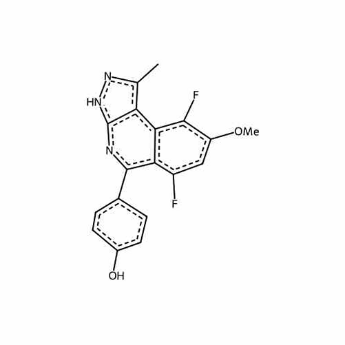 COc1cc(F)c2c(-c3ccc(O)cc3)nc3[nH]nc(C)c3c2c1F